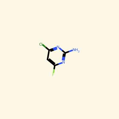 Nc1nc(F)cc(Cl)n1